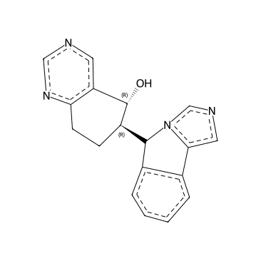 O[C@H]1c2cncnc2CC[C@@H]1C1c2ccccc2-c2cncn21